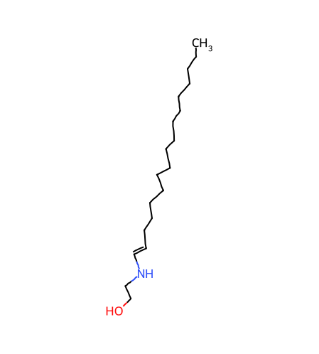 CCCCCCCCCCCCCCCC=CNCCO